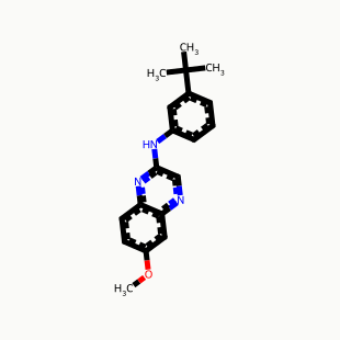 COc1ccc2nc(Nc3cccc(C(C)(C)C)c3)cnc2c1